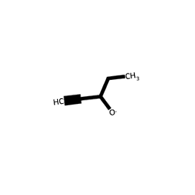 C#CC([O])CC